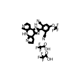 N#Cc1cc(OC(F)(F)F)cc(C#N)c1-c1nc2c([nH]1)-c1ccncc1Nc1ncccc1-2.O=C(O)C(F)(F)F.O=C(O)C(F)(F)F